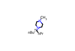 CCCC[C@@H](CCC)N1CCN(C)CC1